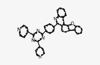 c1ccc2c(c1)nc(-c1ccc(-c3nc(-c4ccncc4)nc(-c4ccncc4)n3)cc1)c1ccc3c4ccccc4oc3c12